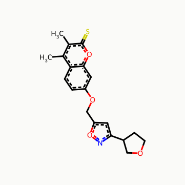 Cc1c(C)c2ccc(OCc3cc(C4CCOC4)no3)cc2oc1=S